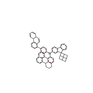 C1=CC2C=Cc3c(-c4ccc(N(c5ccc6c(c5)C5(c7ccccc7-6)C6CC7CC8CC5C786)c5ccccc5-c5cccc6cccc(C7CCCCC7)c56)cc4)cccc3C2C=C1